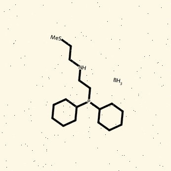 B.CSCCNCCP(C1CCCCC1)C1CCCCC1